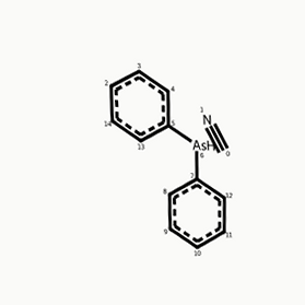 C#N.c1ccc([AsH]c2ccccc2)cc1